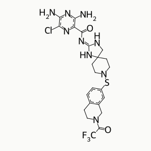 Nc1nc(N)c(C(=O)/N=C2\NCC3(CCN(Sc4ccc5c(c4)CN(C(=O)C(F)(F)F)CC5)CC3)N2)nc1Cl